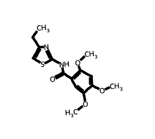 CCc1csc(NC(=O)c2cc(OC)c(OC)cc2OC)n1